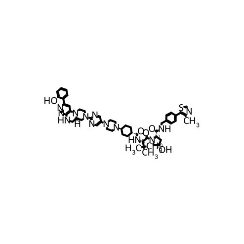 Cc1ncsc1-c1ccc(CNC(=O)[C@@H]2C[C@@H](O)CN2C(=O)[C@@H](NC(=O)[C@H]2CC[C@H](N3CCN(c4cnc(N5CCN6c7cc(-c8ccccc8O)nnc7NC[C@H]6C5)nc4)CC3)CC2)C(C)(C)C)cc1